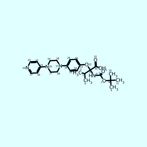 CC(C)C(NC(=O)OC(C)(C)C)(Oc1ccc(N2CCN(c3ccncc3)CC2)cc1)C(=O)O